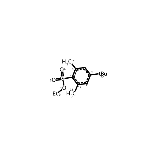 CCOS(=O)(=O)c1c(C)cc(C(C)(C)C)cc1C